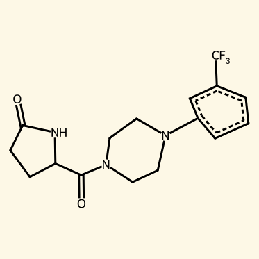 O=C1CCC(C(=O)N2CCN(c3cccc(C(F)(F)F)c3)CC2)N1